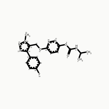 CC(C)NC(=O)Oc1ccc(OCc2c(-c3ccc(F)cc3)nnn2C)nn1